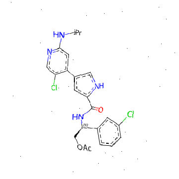 CC(=O)OC[C@@H](NC(=O)c1cc(-c2cc(NC(C)C)ncc2Cl)c[nH]1)c1cccc(Cl)c1